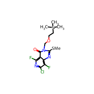 CSc1nc2c(F)c(Cl)nc(F)c2c(=O)n1COCC[Si](C)(C)C